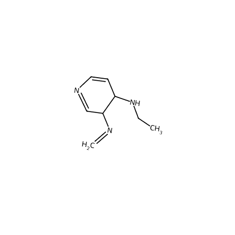 C=NC1C=NC=CC1NCC